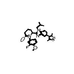 COc1ccc(N2C(=O)CCCC2c2nc3cc(-c4c(C)noc4C)ccc3n2CC(C)C)cc1F